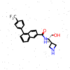 O=C(N[C@H](CO)C1CNC1)c1ccc2c(-c3ccc(C(F)(F)F)cc3)cccc2c1